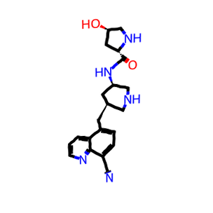 N#Cc1ccc(C[C@@H]2CNC[C@H](NC(=O)[C@@H]3C[C@@H](O)CN3)C2)c2cccnc12